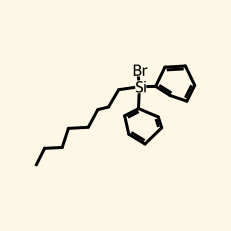 CCCCCCCC[Si](Br)(c1ccccc1)c1ccccc1